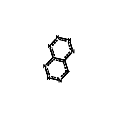 [c]1nnnc2nnnnc12